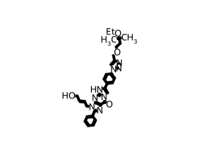 CCOC(C)(C)CCOCc1cn(-c2ccc(-c3cn4c(=O)c5nc(-c6ccccc6)n(CC=CCO)c5nc4[nH]3)cc2)nn1